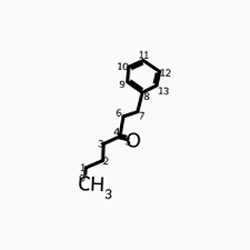 CCCCC(=O)CCc1ccccc1